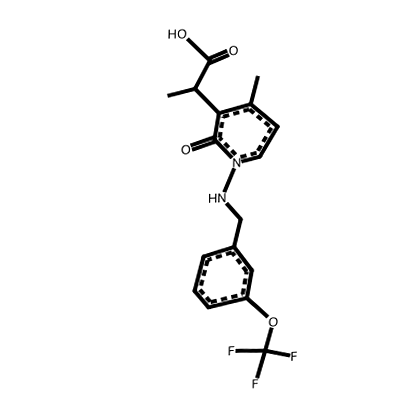 Cc1ccn(NCc2cccc(OC(F)(F)F)c2)c(=O)c1C(C)C(=O)O